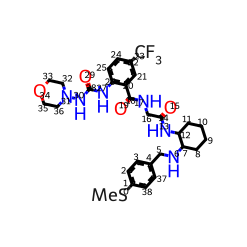 CSc1ccc(CNC2CCCCC2NC(=O)CNC(=O)c2cc(C(F)(F)F)ccc2NC(=O)NN2CCOCC2)cc1